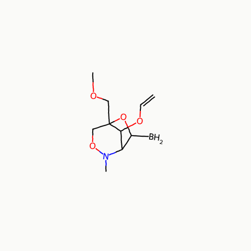 BC1OC2(COC)CON(C)C1C2OC=C